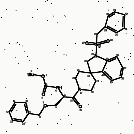 CC(C)(C)OC(=O)N[C@H](COCc1ccccc1)C(=O)N1CCC2(CC1)CN(S(=O)(=O)Cc1ccccc1)c1ccccc12